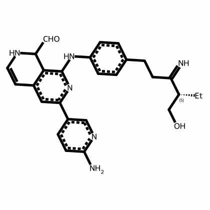 CC[C@H](CO)C(=N)CCc1ccc(Nc2nc(-c3ccc(N)nc3)cc3c2C(C=O)NC=C3)cc1